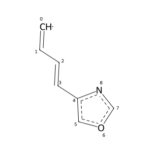 [CH]=CC=Cc1cocn1